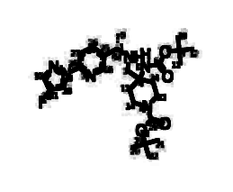 C[C@H](NCC1(NC(=O)OC(C)(C)C)CCN(C(=O)OC(C)(C)C)CC1)c1ccc(-n2cc(F)cn2)nc1